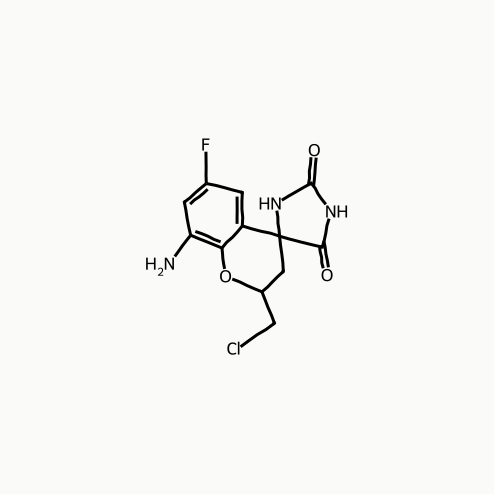 Nc1cc(F)cc2c1OC(CCl)CC21NC(=O)NC1=O